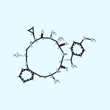 COc1ccc(C(C)[C@H]2NC(=O)[C@@H](C)N(C)C(=O)[C@H](C3CC3)NC[C@@H](C)Oc3ccccc3CC[C@H](C)NC2=O)cc1